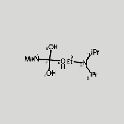 CCN(C(C)C)C(C)C.CNC(O)(O)O